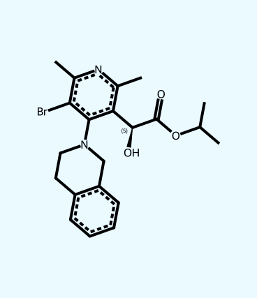 Cc1nc(C)c([C@H](O)C(=O)OC(C)C)c(N2CCc3ccccc3C2)c1Br